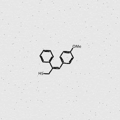 COc1ccc(C=C(CS)c2ccccc2)cc1